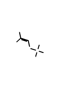 C[Si](C)(C)[SiH2]C=C(O)O